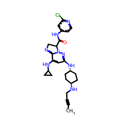 CC#CCN[C@H]1CC[C@H](NC2=NN3C(=NCC3C(=O)Nc3ccnc(Cl)c3)C(NC3CC3)=C2)CC1